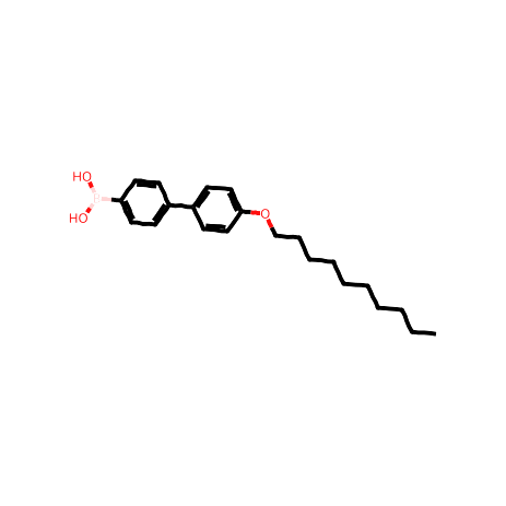 CCCCCCCCCCOc1ccc(-c2ccc(B(O)O)cc2)cc1